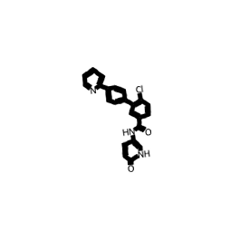 O=C(Nc1ccc(=O)[nH]c1)c1ccc(Cl)c(-c2ccc(-c3ccccn3)cc2)c1